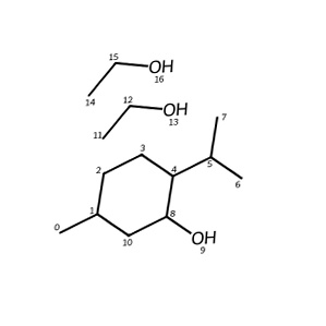 CC1CCC(C(C)C)C(O)C1.CCO.CCO